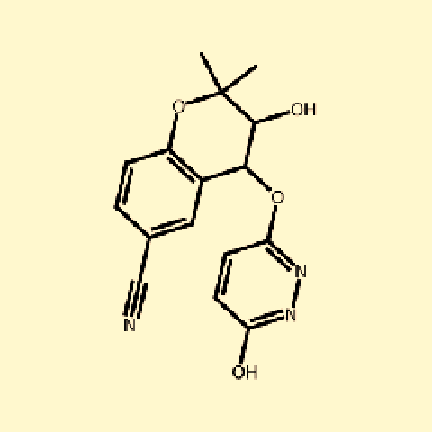 CC1(C)Oc2ccc(C#N)cc2C(Oc2ccc(O)nn2)C1O